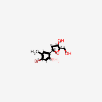 Bc1cc(Br)c(C)cc1[C@H]1C[C@@H](O)[C@@H](CO)O1